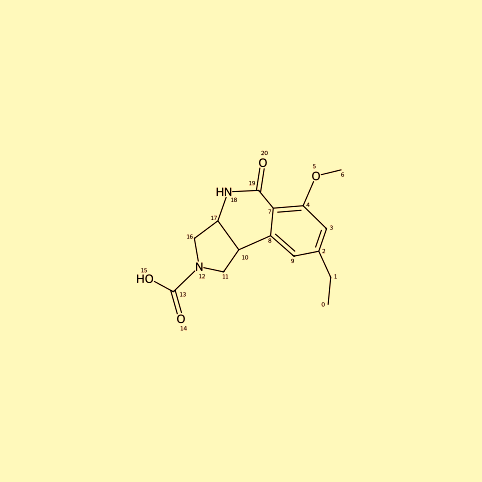 CCc1cc(OC)c2c(c1)C1CN(C(=O)O)CC1NC2=O